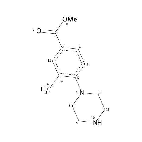 COC(=O)c1ccc(N2CCNCC2)c(C(F)(F)F)c1